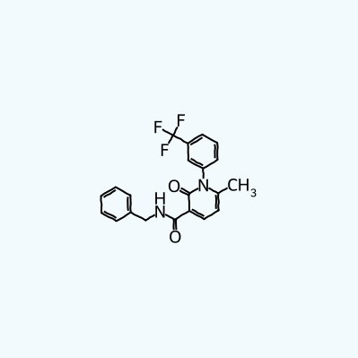 Cc1ccc(C(=O)NCc2ccccc2)c(=O)n1-c1cccc(C(F)(F)F)c1